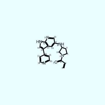 C=CC(=O)N1CCC(Nc2cnc3[nH]cc(-c4ccncc4)c3c2)C1